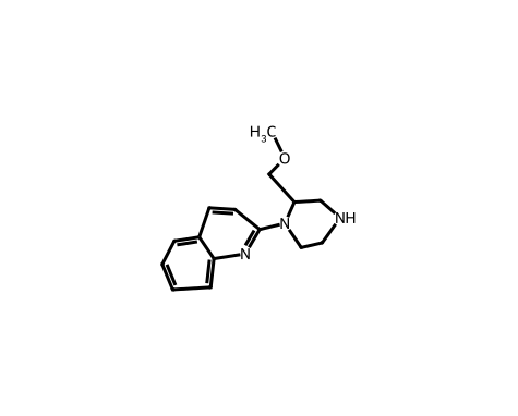 COCC1CNCCN1c1ccc2ccccc2n1